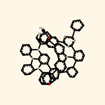 C#C/C=C\C(=C/C)N1c2ccccc2B2c3ccccc3N(c3ccccc3)c3c(-c4cccc(-c5cccc(-c6cccc(-c7nc(-c8ccccc8)nc(-c8ccccc8)n7)c6-n6c7ccc(-c8ccccc8)cc7c7cc(-c8ccccc8)ccc76)c5)c4)ccc1c32